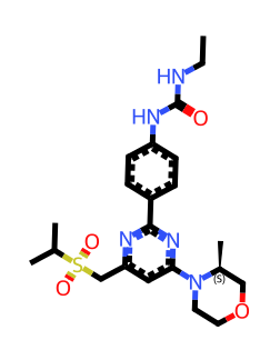 CCNC(=O)Nc1ccc(-c2nc(CS(=O)(=O)C(C)C)cc(N3CCOC[C@@H]3C)n2)cc1